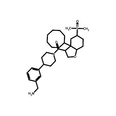 C[SH](C)(=O)C1CCC2OCC(C(=O)N3CCC(c4cccc(CN)c4)CC3)C2(C2CCCCCCC2)C1